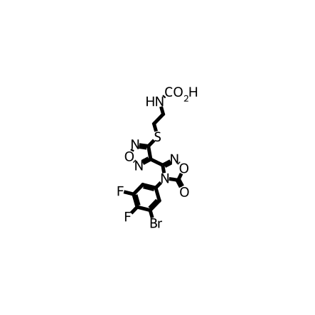 O=C(O)NCCSc1nonc1-c1noc(=O)n1-c1cc(F)c(F)c(Br)c1